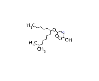 CCCCCC(CCCCCC(C)C)OC(=O)/C=C\C(=O)O